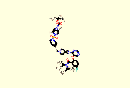 CC(C)N(C(=O)c1cc(F)ccc1Oc1cncnc1N1CC2(CCN(C[C@@H]3CCN(S(=O)(=O)N4C[C@H]5C[C@@H]4CN5C(=O)OC(C)(C)C)C3)CC2)C1)C(C)C